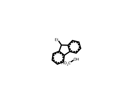 CCC1c2ccccc2-c2ccccc21.O=C(O)O